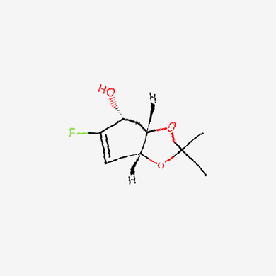 CC1(C)O[C@@H]2[C@@H](C=C(F)[C@@H]2O)O1